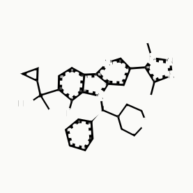 Cc1nnn(C)c1-c1cnc2c3ccc(C(C)(O)C4CC4)c(F)c3n([C@H](c3ccccc3)C3CCOCC3)c2c1